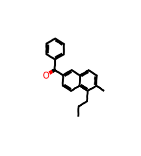 CCCc1c(C)ccc2cc(C(=O)c3ccccc3)ccc12